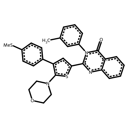 CSc1ccc(-c2cc(-c3nc4ccccc4c(=O)n3-c3cccc(C)c3)sc2N2CCOCC2)cc1